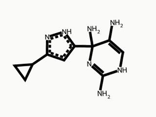 NC1=CNC(N)=NC1(N)c1cc(C2CC2)n[nH]1